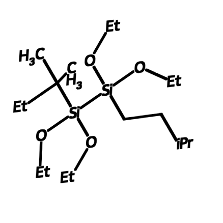 CCO[Si](CCC(C)C)(OCC)[Si](OCC)(OCC)C(C)(C)CC